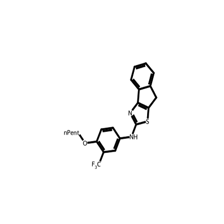 CCCCCOc1ccc(Nc2nc3c(s2)Cc2ccccc2-3)cc1C(F)(F)F